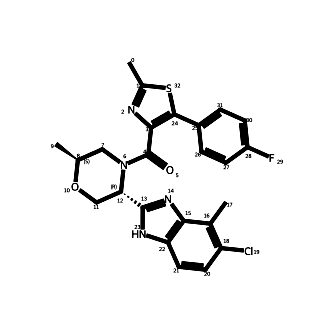 Cc1nc(C(=O)N2C[C@H](C)OC[C@H]2c2nc3c(C)c(Cl)ccc3[nH]2)c(-c2ccc(F)cc2)s1